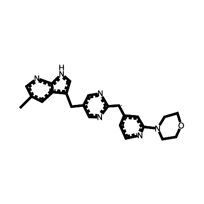 Cc1cnc2[nH]cc(Cc3cnc([CH]c4ccnc(N5CCOCC5)c4)nc3)c2c1